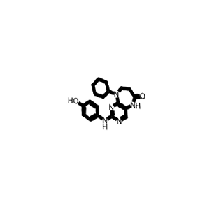 O=C1CCN(C2CCCCC2)c2nc(Nc3ccc(O)cc3)ncc2N1